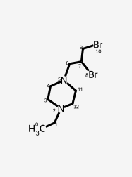 CCN1CCN(CC(Br)CBr)CC1